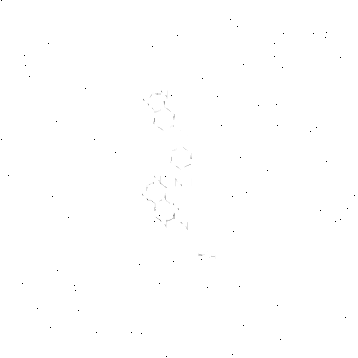 Cc1cc(Nc2ncnc3cnc(N4CC(CS(C)(=O)=O)C4)nc23)ccc1Oc1ccc2c(c1)ncn2C